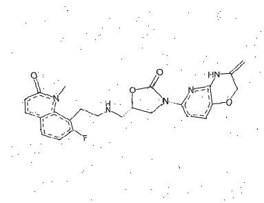 C=C1COc2ccc(N3C[C@H](CNCCc4c(F)ccc5ccc(=O)n(C)c45)OC3=O)nc2N1